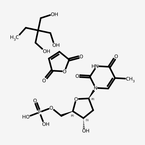 CCC(CO)(CO)CO.Cc1cn([C@H]2C[C@H](O)[C@@H](COP(=O)(O)O)O2)c(=O)[nH]c1=O.O=C1C=CC(=O)O1